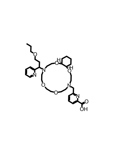 CCCOCCC(c1ccccn1)N1CCOCCOCCN(Cc2cccc(C(=O)O)n2)CCO[C@@H]2CCCC[C@@H]2OCC1